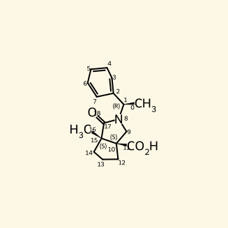 C[C@H](c1ccccc1)N1C[C@]2(C(=O)O)CCC[C@]2(C)C1=O